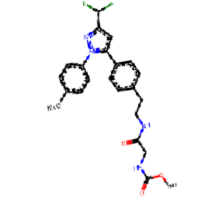 COc1ccc(-n2nc(C(F)F)cc2-c2ccc(CCNC(=O)CNC(=O)OC(C)(C)C)cc2)cc1